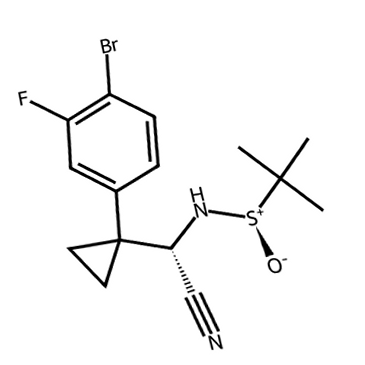 CC(C)(C)[S@@+]([O-])N[C@H](C#N)C1(c2ccc(Br)c(F)c2)CC1